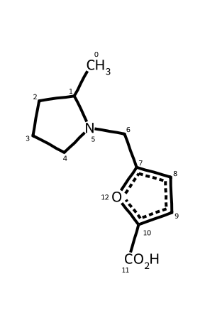 CC1CCCN1Cc1ccc(C(=O)O)o1